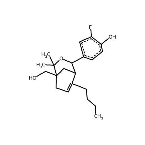 CCCCC1=CCC2(CO)CC1C(c1ccc(O)c(F)c1)OC2(C)C